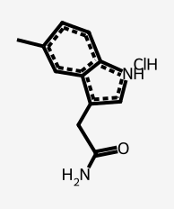 Cc1ccc2[nH]cc(CC(N)=O)c2c1.Cl